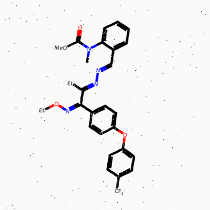 CCO\N=C(/C(CC)=N/N=C/c1ccccc1N(C)C(=O)OC)c1ccc(Oc2ccc(C(F)(F)F)cc2)cc1